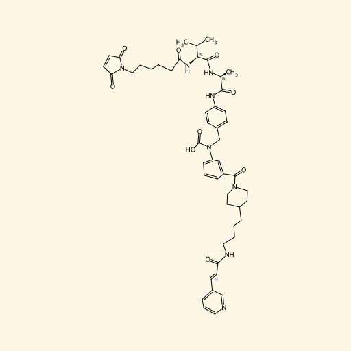 CC(C)[C@H](NC(=O)CCCCCN1C(=O)C=CC1=O)C(=O)N[C@@H](C)C(=O)Nc1ccc(CN(C(=O)O)c2cccc(C(=O)N3CCC(CCCCNC(=O)/C=C/c4cccnc4)CC3)c2)cc1